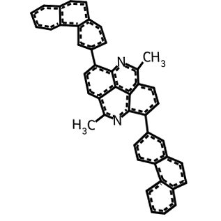 Cc1nc2c(-c3ccc4ccc5ccccc5c4c3)ccc3c(C)nc4c(-c5ccc6c(ccc7ccccc76)c5)ccc1c4c32